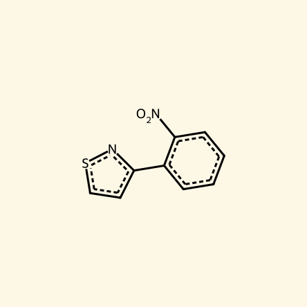 O=[N+]([O-])c1ccccc1-c1ccsn1